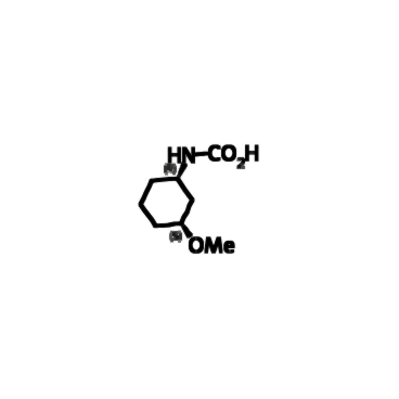 CO[C@H]1CCC[C@@H](NC(=O)O)C1